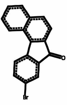 O=C1c2cc(Br)ccc2-c2c1ccc1ccccc21